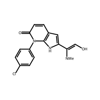 CN/C(=C\O)c1cc2ccc(=O)n(-c3ccc(Cl)cc3)c2[nH]1